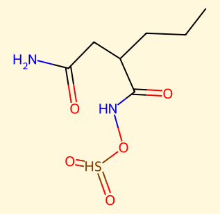 CCCC(CC(N)=O)C(=O)NO[SH](=O)=O